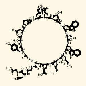 C#CC[C@H](NC(=O)CNC(=O)[C@@H]1CSCC(=O)N[C@@H](Cc2ccc(O)cc2)C(=O)N(C)[C@@H](C)C(=O)N[C@@H](CC(=O)O)C(=O)N2CCC[C@H]2C(=O)N[C@@H](Cc2c[nH]cn2)C(=O)N[C@@H](CCC(N)=O)C(=O)N2C[C@H](O)C[C@H]2C(=O)N[C@@H](Cc2c[nH]c3ccccc23)C(=O)N[C@@H](CO)C(=O)N[C@@H](Cc2c[nH]c3ccccc23)C(=O)N(C)[C@@H](CCCC)C(=O)N(C)[C@@H](CCCC)C(=O)N[C@@H](CCC(=O)O)C(=O)N1)C(=O)NCC(N)=O